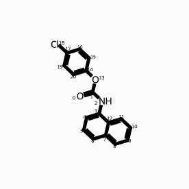 O=C(Nc1cccc2ccccc12)Oc1ccc(Cl)cc1